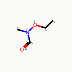 CCON(C)[C]=O